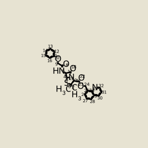 CC1(C)SC2C(NC(=O)COc3ccccc3)C(=O)N2C1C(=O)OCc1cccc2cccnc12